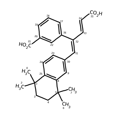 CC1(C)CCC(C)(C)c2cc(/C=C(/C=C/C(=O)O)c3cccc(C(=O)O)c3)ccc21